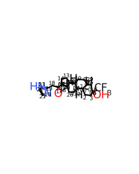 C[C@]12CC[C@](O)(C(F)(F)F)C[C@H]1CC[C@H]1[C@H]3CC[C@H](C(=O)Cc4ncc[nH]4)[C@@]3(C)CC[C@@H]12